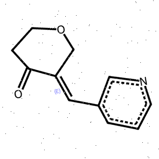 O=C1CCOC/C1=C\c1cccnc1